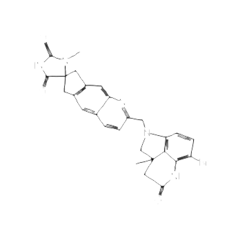 CN1C(=O)NC(=O)C12Cc1cc3ccc(CN4CC5(C)CC(=O)Nc6c(Br)ccc4c65)nc3cc1C2